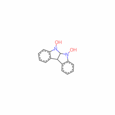 ON1c2ccccc2C2c3ccccc3N(O)C21